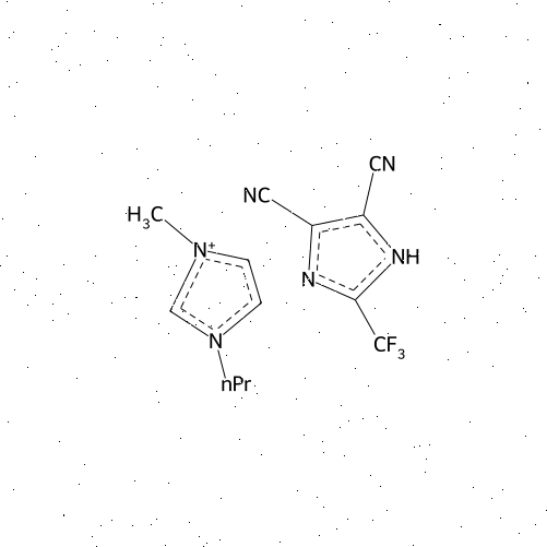 CCCn1cc[n+](C)c1.N#Cc1nc(C(F)(F)F)[nH]c1C#N